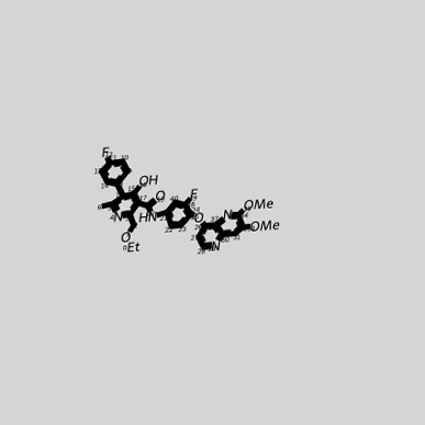 CCOCc1nc(C)c(-c2ccc(F)cc2)c(O)c1C(=O)Nc1ccc(Oc2ccnc3cc(OC)c(OC)nc23)c(F)c1